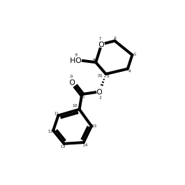 O=C(O[C@H]1CCCOC1O)c1ccccc1